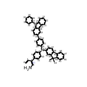 C=C/C(=C\N)c1ccc(N(c2ccc(-c3ccc4c(c3)c3ccccc3n4-c3ccccc3)cc2)c2ccc3c(c2)C(C)(C)c2ccccc2-3)cc1